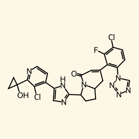 O=C1C=C(c2c(-n3cnnn3)ccc(Cl)c2F)CC2CCC(c3ncc(-c4ccnc(C5(O)CC5)c4Cl)[nH]3)N12